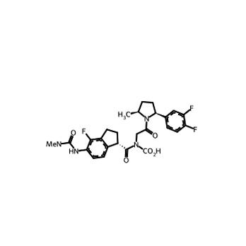 CNC(=O)Nc1ccc2c(c1F)CC[C@@H]2C(=O)N(CC(=O)N1[C@@H](C)CC[C@H]1c1ccc(F)c(F)c1)C(=O)O